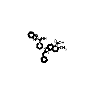 C[C@H]1CCc2c(ccc3c2nc(Cc2ccccc2)n3[C@@H]2CCCN(C(=N)n3nc4ccccc4n3)C2)N1C(=O)O